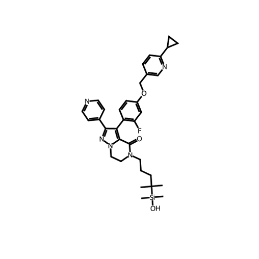 CC(C)(CCCN1CCn2nc(-c3ccncc3)c(-c3ccc(OCc4ccc(C5CC5)nc4)cc3F)c2C1=O)[Si](C)(C)O